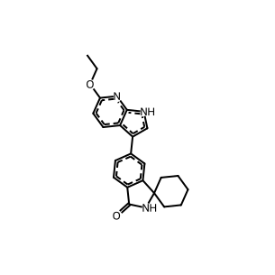 CCOc1ccc2c(-c3ccc4c(c3)C3(CCCCC3)NC4=O)c[nH]c2n1